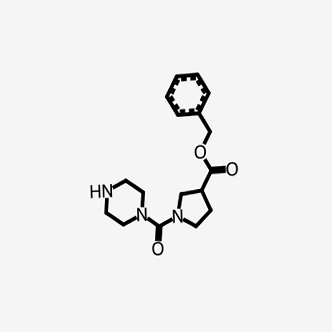 O=C(OCc1ccccc1)C1CCN(C(=O)N2CCNCC2)C1